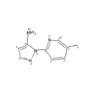 Cc1ccc(-n2nccc2N)nc1